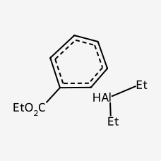 CCOC(=O)c1ccccc1.C[CH2][AlH][CH2]C